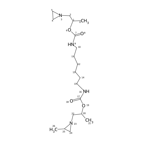 CC(CN1CC1)OC(=O)NCCCCCCNC(=O)OC(C)CN1CC1C